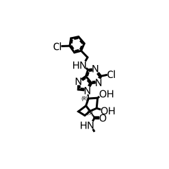 CNC(=O)[C@@]12CCC1[C@@H](n1cnc3c(NCc4cccc(Cl)c4)nc(Cl)nc31)C(O)C2O